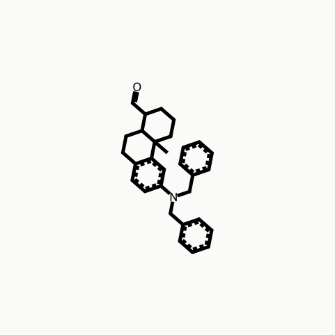 CC12CCCC(C=O)C1CCc1ccc(N(Cc3ccccc3)Cc3ccccc3)cc12